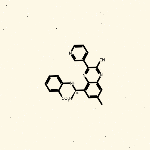 Cc1cc([C@@H](C)Nc2ccccc2C(=O)O)c2nc(-c3cccnc3)c(C#N)nc2c1